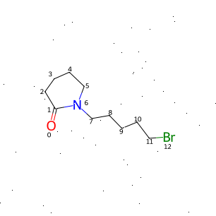 O=C1CCCCN1CCCCCBr